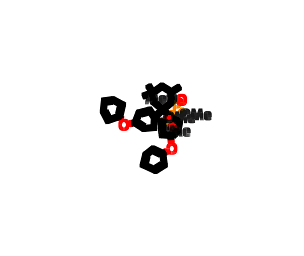 COP(=O)(OC)C1(C2(C3(P(=O)(OC)OC)C=CC(Oc4ccccc4)=CC3)CC(C)CC(C)(C)C2)C=CC(Oc2ccccc2)=CC1